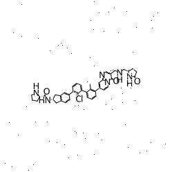 Cc1c(-c2ccn3c(=O)c(CNC[C@H]4CCC(=O)N4)cnc3c2)cccc1-c1cccc(-c2ccc3c(c2)C[C@@H](NC(=O)[C@@H]2CCCN2)C3)c1Cl